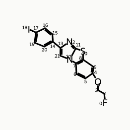 FCCOc1ccc2c(c1)sc1nc(-c3ccc(I)cc3)cn12